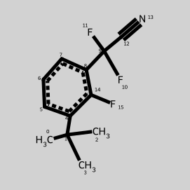 CC(C)(C)c1cccc(C(F)(F)C#N)c1F